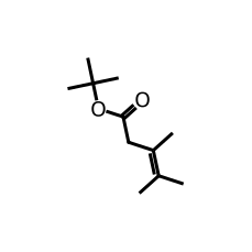 CC(C)=C(C)CC(=O)OC(C)(C)C